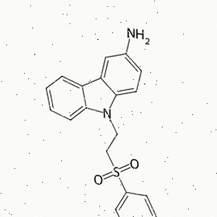 Nc1ccc2c(c1)c1ccccc1n2CCS(=O)(=O)c1ccccc1